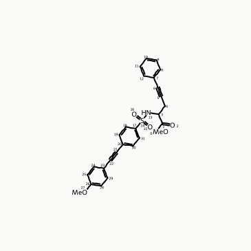 COC(=O)C(CC#Cc1ccccc1)NS(=O)(=O)c1ccc(C#Cc2ccc(OC)cc2)cc1